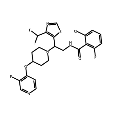 O=C(NCC(c1scnc1C(F)F)N1CCC(Oc2ccncc2F)CC1)c1c(F)cccc1Cl